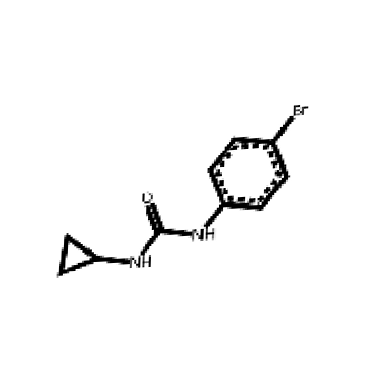 O=C(Nc1ccc(Br)cc1)NC1CC1